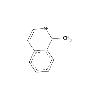 CC1[N]C=Cc2ccccc21